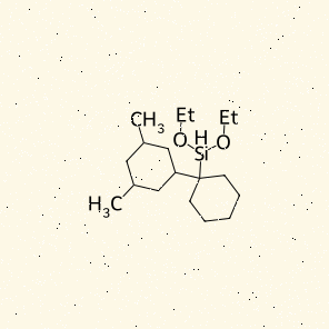 CCO[SiH](OCC)C1(C2CC(C)CC(C)C2)CCCCC1